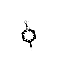 [O-][n+]1[c]cc(F)cc1